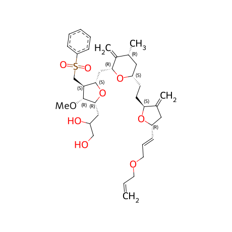 C=CCOCC=C[C@H]1CC(=C)[C@H](CC[C@H]2C[C@@H](C)C(=C)[C@@H](C[C@@H]3O[C@H](CC(O)CO)[C@H](OC)[C@H]3CS(=O)(=O)c3ccccc3)O2)O1